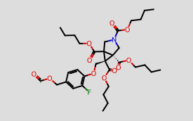 CCCCOC(=O)N1CC2(C(=O)OCCCC)[C@@](C(=O)OCCCC)(C1)[C@]2(COc1ccc(CO[C]=O)cc1F)C(=O)OCCCC